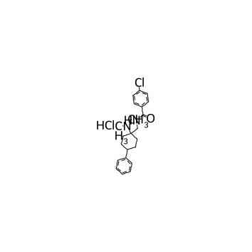 CN(C)C1(CNC(=O)c2ccc(Cl)cc2)CCC(c2ccccc2)CC1.Cl